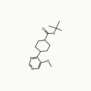 COc1cncnc1C1CCN(C(=O)OC(C)(C)C)CC1